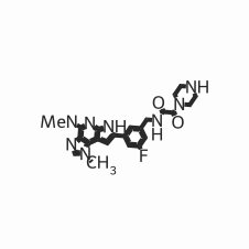 CNc1nc2[nH]c(-c3cc(F)cc(CNC(=O)C(=O)N4CCNCC4)c3)cc2c2c1ncn2C